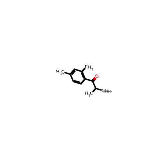 CNC(C)C(=O)c1ccc(C)cc1C